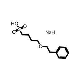 O=S(=O)(O)CCCCOCCc1ccccc1.[NaH]